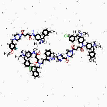 CN(C(=O)CCC(=O)N(CCc1c[nH]c2ccccc12)Cc1cccc2ccccc12)C1CCC(Cc2ccc(Cl)cc2)(N(C)C)CC1.COc1ccc(CN2CCN(C(=O)CCC(=O)NC3CCC(Cc4cccc(C)c4)(N(C)C)CC3)CC2)cc1F.Cc1ccc(CC2(N(C)C)CCC(N(C(=O)CCC(=O)N3CCN(C(=O)c4cnc(C)cn4)CC3)C3CCC(Cc4cccc(Cl)c4)(N(C)C)CC3)CC2)cc1